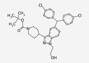 CC(C)(C)OC(=O)N1CCC(c2nn(CCO)c3ccc(C(c4ccc(Cl)cc4)c4ccc(Cl)cc4)cc23)CC1